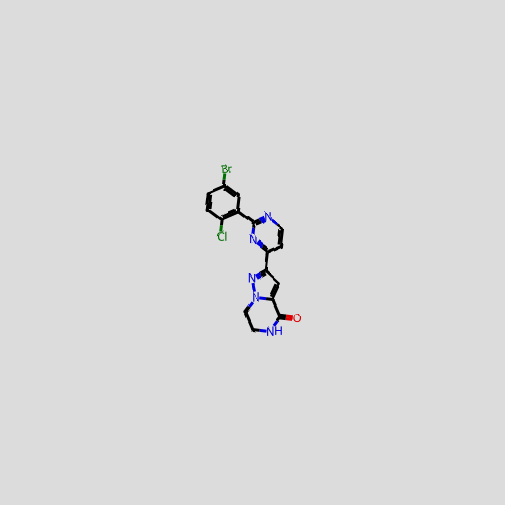 O=C1NCCn2nc(-c3ccnc(-c4cc(Br)ccc4Cl)n3)cc21